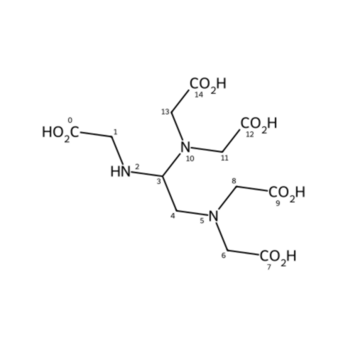 O=C(O)CNC(CN(CC(=O)O)CC(=O)O)N(CC(=O)O)CC(=O)O